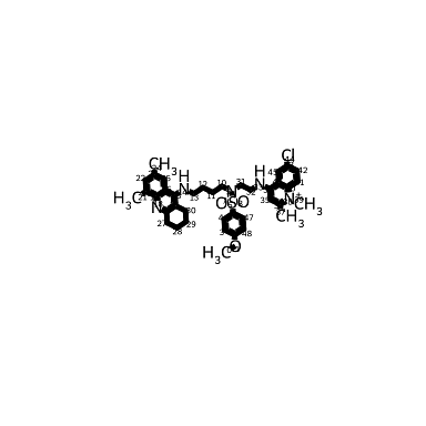 COc1ccc(S(=O)(=O)N(CCCCNc2c3c(nc4c(C)cc(C)cc24)CCCC3)CCNc2cc(C)[n+](C)c3ccc(Cl)cc23)cc1